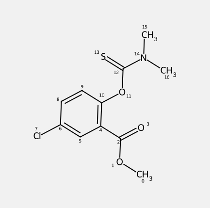 COC(=O)c1cc(Cl)ccc1OC(=S)N(C)C